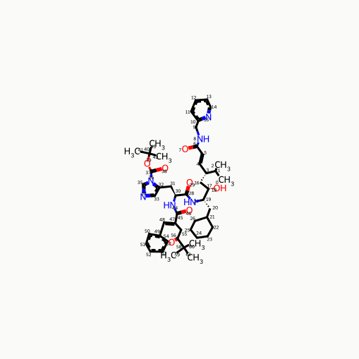 CC(C)[C@@H](/C=C/C(=O)NCc1ccccn1)C[C@H](O)[C@H](CC1CCCCC1)NC(=O)[C@H](Cc1cncn1C(=O)OC(C)(C)C)NC(=O)C(=Cc1ccccc1)CC(=O)C(C)(C)C